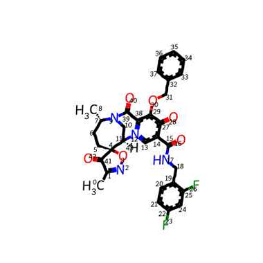 CC1=NO[C@]2(CC[C@H](C)N3C[C@H]2n2cc(C(=O)NCc4ccc(F)cc4F)c(=O)c(OCc4ccccc4)c2C3=O)C1=O